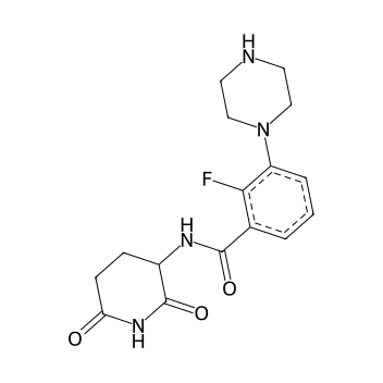 O=C1CCC(NC(=O)c2cccc(N3CCNCC3)c2F)C(=O)N1